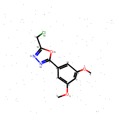 COc1cc(OC)cc(-c2nnc(CCl)o2)c1